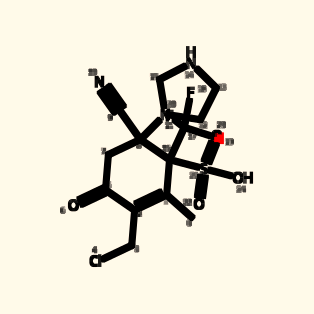 CC1=C(CCl)C(=O)CC(C#N)(N2CCNC2)C1(C(F)(F)F)S(=O)(=O)O